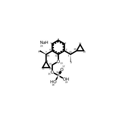 C[C@H](c1cccc([C@H](C)C2CC2)c1OCOP(=O)(O)O)C1CC1.[NaH]